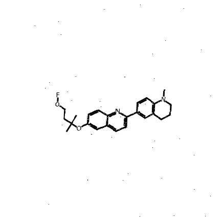 CN1CCCc2cc(-c3ccc4cc(OC(C)(C)CCOF)ccc4n3)ccc21